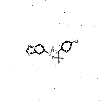 CN(Sc1ccn2ncnc2c1)[C@H](c1ccc(Cl)cc1)C(F)(F)F